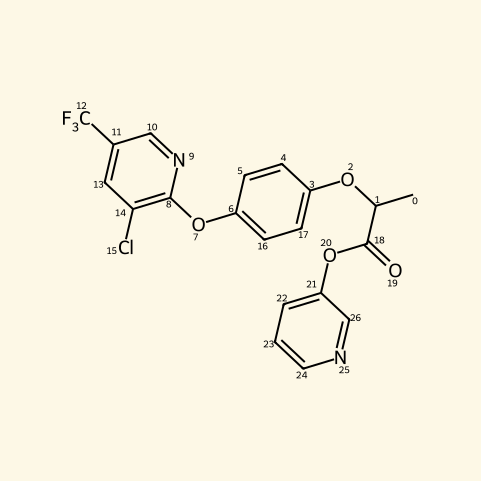 CC(Oc1ccc(Oc2ncc(C(F)(F)F)cc2Cl)cc1)C(=O)Oc1cccnc1